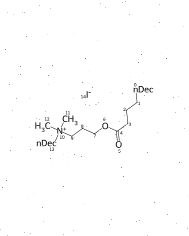 CCCCCCCCCCCCCC(=O)OCCC[N+](C)(C)CCCCCCCCCC.[I-]